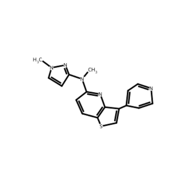 CN(c1ccc2scc(-c3ccncc3)c2n1)c1ccn(C)n1